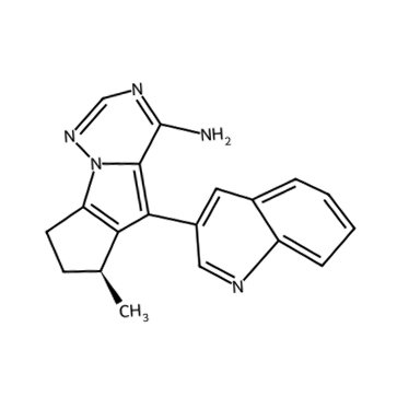 C[C@H]1CCc2c1c(-c1cnc3ccccc3c1)c1c(N)ncnn21